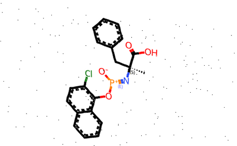 C[C@@](Cc1ccccc1)(/N=[P+](\[O-])Oc1c(Cl)ccc2ccccc12)C(=O)O